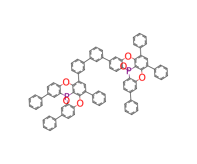 O=P12c3ccc(-c4ccccc4)cc3Oc3c(-c4ccccc4)cc(-c4ccccc4)c(c31)Oc1cc(-c3cccc(-c4cccc(-c5cc(-c6ccccc6)c6c7c5Oc5ccc(-c8ccccc8)cc5P7(=O)c5cc(-c7ccccc7)ccc5O6)c4)c3)ccc12